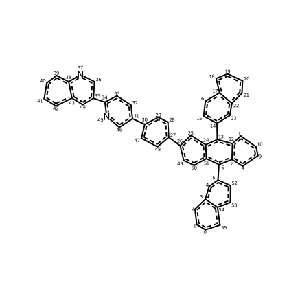 c1ccc2cc(-c3c4ccccc4c(-c4ccc5ccccc5c4)c4cc(-c5ccc(-c6ccc(-c7cnc8ccccc8c7)nc6)cc5)ccc34)ccc2c1